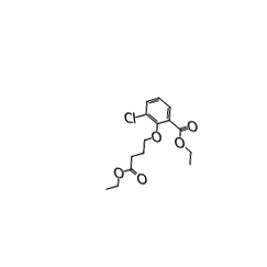 CCOC(=O)CCCOc1c(Cl)cccc1C(=O)OCC